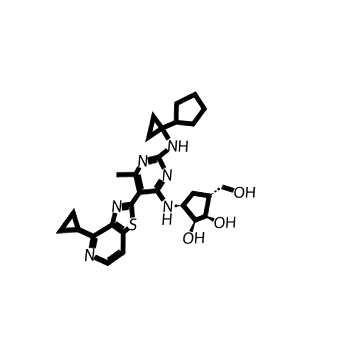 Cc1nc(NC2(C3CCCC3)CC2)nc(N[C@@H]2C[C@H](CO)[C@@H](O)[C@H]2O)c1-c1nc2c(C3CC3)nccc2s1